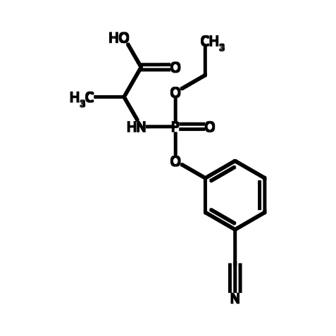 CCOP(=O)(NC(C)C(=O)O)Oc1cccc(C#N)c1